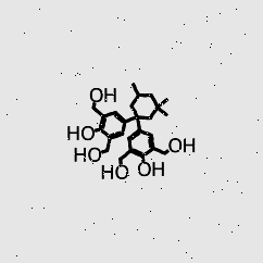 CC1CC(C)(C)CC(c2cc(CO)c(O)c(CO)c2)(c2cc(CO)c(O)c(CO)c2)C1